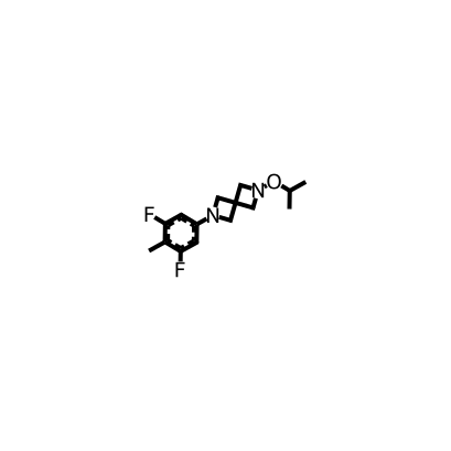 Cc1c(F)cc(N2CC3(CN(OC(C)C)C3)C2)cc1F